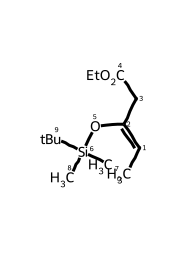 CC=C(CC(=O)OCC)O[Si](C)(C)C(C)(C)C